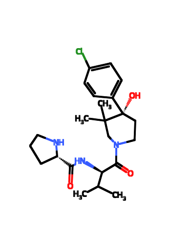 CC(C)[C@@H](NC(=O)[C@@H]1CCCN1)C(=O)N1CC[C@](O)(c2ccc(Cl)cc2)C(C)(C)C1